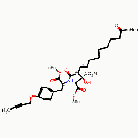 CC#CCOc1ccc(C[C@H](NC(=O)[C@@H](/C=C/CCCCCCC(=O)CCCCCCC)[C@@](O)(CC(=O)OCCCC)C(=O)O)C(=O)OCCCC)cc1